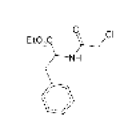 CCOC(=O)C(Cc1ccccc1)NC(=O)CCl